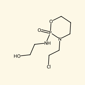 O=P1(NCCO)OCCCN1CCCl